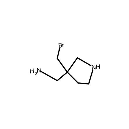 NCC1(CBr)CCNC1